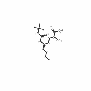 CCC/C=C(\CCC(N)C(=O)O)CC(=O)OC(C)(C)C